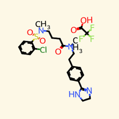 CN(CCc1ccc(C2=NCCN2)cc1)C(=O)CCCN(C)S(=O)(=O)c1ccccc1Cl.O=C(O)C(F)(F)F